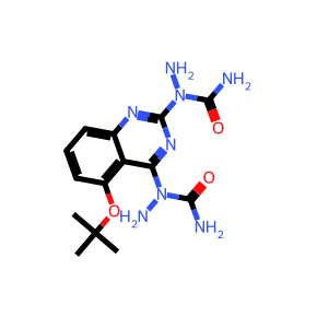 CC(C)(C)Oc1cccc2nc(N(N)C(N)=O)nc(N(N)C(N)=O)c12